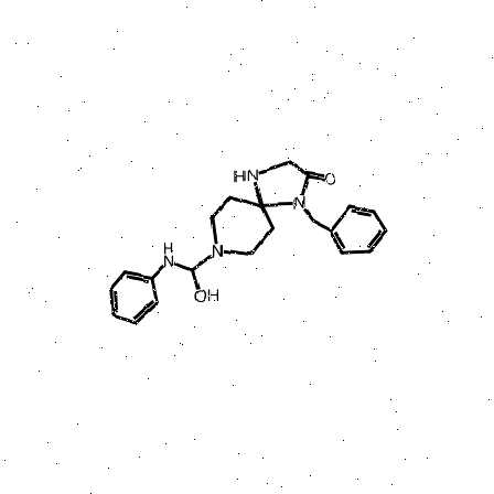 O=C1CNC2(CCN(C(O)Nc3ccccc3)CC2)N1Cc1ccccc1